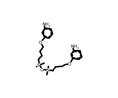 C[Si](C)(CCCCOc1cccc(N)c1)O[Si](C)(C)CCCCOc1cccc(N)c1